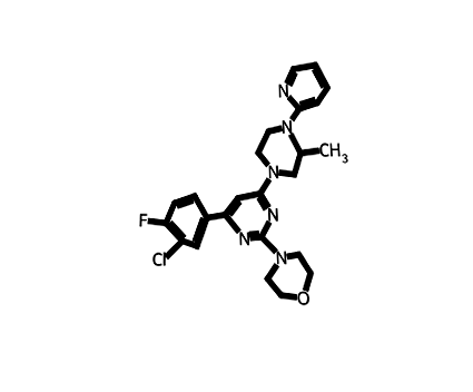 CC1CN(c2cc(-c3ccc(F)c(Cl)c3)nc(N3CCOCC3)n2)CCN1c1ccccn1